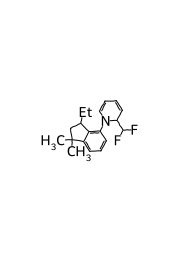 CCC1CC(C)(C)c2cccc(N3C=CC=CC3C(F)F)c21